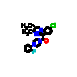 CC[C@H](Cn1cc(C(=O)N2CCN(c3ccccc3F)CC2)c2ccc(Cl)cc21)C(C)=N